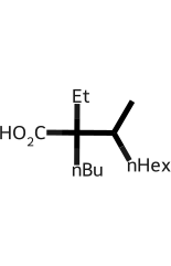 CCCCCCC(C)C(CC)(CCCC)C(=O)O